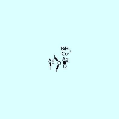 IOI.[Ag][I].[BiH3].[Co].[O]=[Ag]